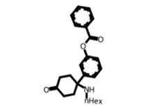 CCCCCCNC1(c2cccc(OC(=O)c3ccccc3)c2)CCC(=O)CC1